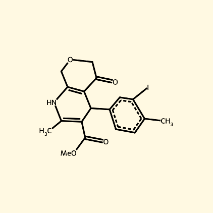 COC(=O)C1=C(C)NC2=C(C(=O)COC2)C1c1ccc(C)c(I)c1